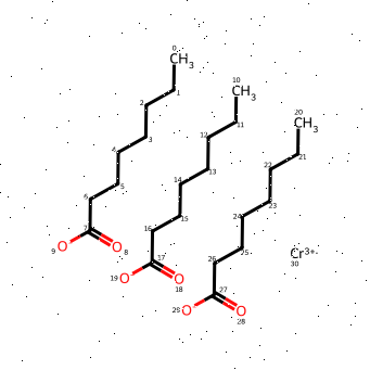 CCCCCCCC(=O)[O-].CCCCCCCC(=O)[O-].CCCCCCCC(=O)[O-].[Cr+3]